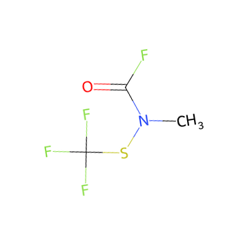 CN(SC(F)(F)F)C(=O)F